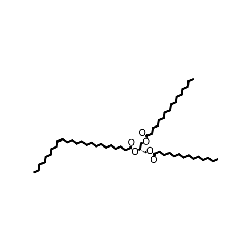 CCCCCCCC/C=C\CCCCCCCCCCCCCC(=O)O[C@@H](COC(=O)CCCCCCCCCCCCC)COC(=O)CCCCCCCCCCCCCCC